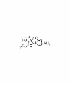 Nc1ccn(C2OC(COI)C(O)C2(F)F)c(=O)n1